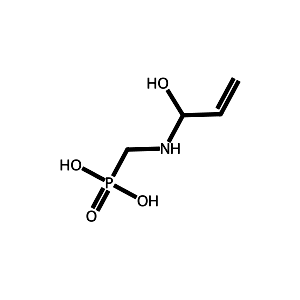 C=CC(O)NCP(=O)(O)O